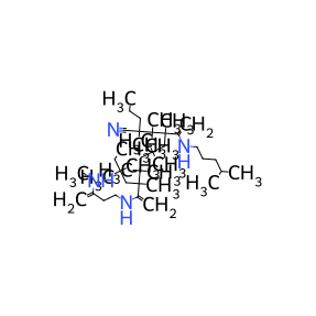 C=C(CCNC(=C)C(C)(CC(C)(C)CC)C(C)(C)CC(C)(C)CC(C)(C(=C)NCCCC(C)C)C(C)(C)C(C)(C#N)CCC)NC